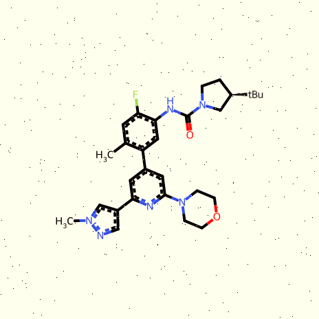 Cc1cc(F)c(NC(=O)N2CC[C@@H](C(C)(C)C)C2)cc1-c1cc(-c2cnn(C)c2)nc(N2CCOCC2)c1